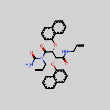 C=CCNC(=O)[C@H](Oc1cccc2ccccc12)[C@@H](Oc1cccc2ccccc12)C(=O)N(CC=C)C(N)=O